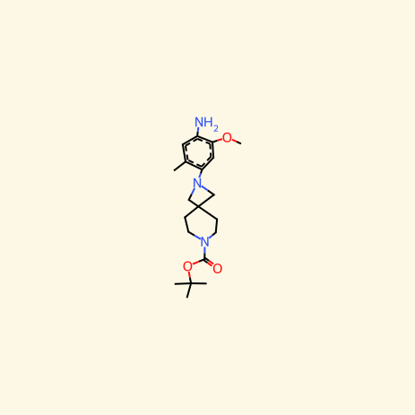 COc1cc(N2CC3(CCN(C(=O)OC(C)(C)C)CC3)C2)c(C)cc1N